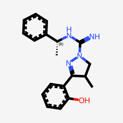 CC1CN(C(=N)N[C@H](C)c2ccccc2)N=C1c1ccccc1O